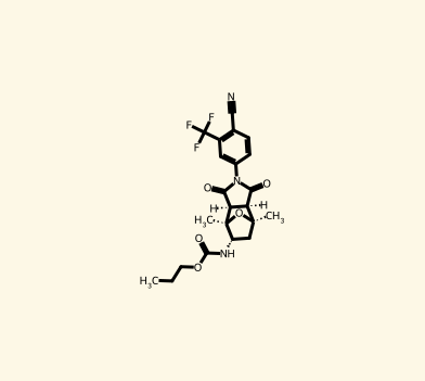 CCCOC(=O)N[C@H]1C[C@@]2(C)O[C@]1(C)[C@H]1C(=O)N(c3ccc(C#N)c(C(F)(F)F)c3)C(=O)[C@H]12